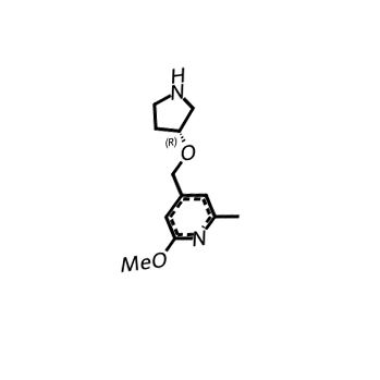 COc1cc(CO[C@@H]2CCNC2)cc(C)n1